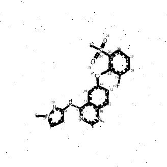 Cn1ccc(Nc2ncnc3ccc(Oc4c(F)cccc4S(C)(=O)=O)cc23)n1